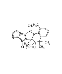 Cc1cccc2c1N1[C@@H](C)c3c(n(C)c4nccn34)C1(C)C(C)(C)C2(C)C